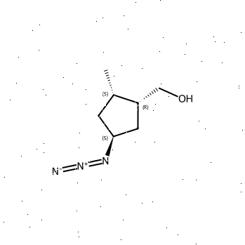 C[C@H]1C[C@H](N=[N+]=[N-])C[C@H]1CO